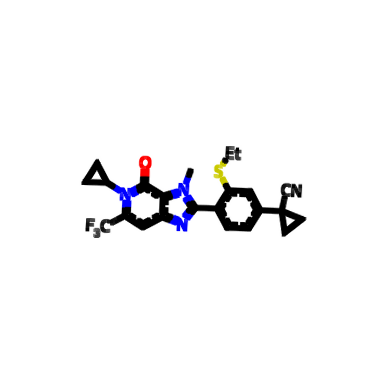 CCSc1cc(C2(C#N)CC2)ccc1-c1nc2cc(C(F)(F)F)n(C3CC3)c(=O)c2n1C